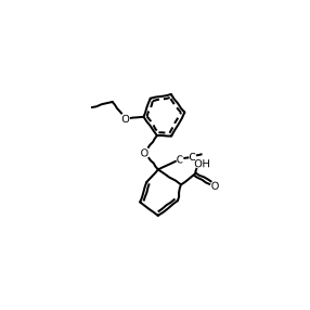 CCCC1(Oc2ccccc2OCC)C=CC=CC1C(=O)O